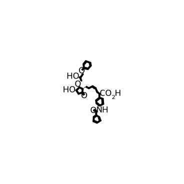 O=C(Nc1ccc([C@H](C/C=C\CC[C@@H]2C(=O)C[C@H](O)[C@@H]2OCC(O)COc2ccccc2)C(=O)O)cc1)c1ccccc1